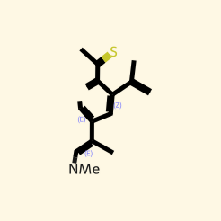 C=C(C)/C(=C/C(=C\C)C(/C)=C/NC)C(=C)C(C)=S